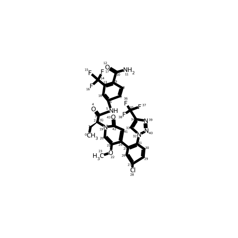 CC[C@@H](C(=O)Nc1ccc(C(N)=O)c(C(F)(F)F)c1)n1cc(OC)c(-c2cc(Cl)ccc2-n2cc(C(F)(F)F)nn2)cc1=O